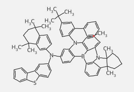 Cc1cc2c3c(c1)N1c4c(cccc4C4(C)CCCCC14C)B3c1ccc(N(c3ccc4c(c3)C(C)(C)CCC4(C)C)c3ccc4sc5ccccc5c4c3)cc1N2c1ccc(C(C)(C)C)cc1-c1ccccc1